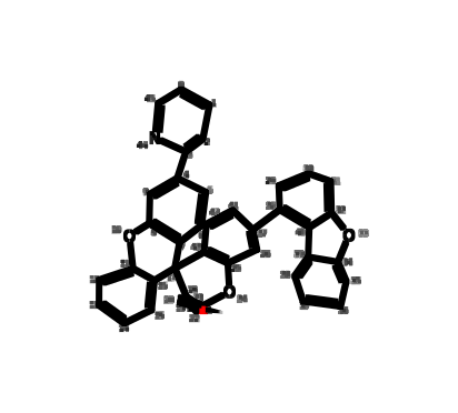 c1ccc(-c2ccc3c(c2)Oc2ccccc2C32c3ccccc3Oc3cc(-c4cccc5oc6ccccc6c45)ccc32)nc1